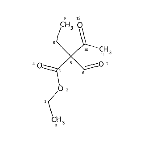 CCOC(=O)C(C=O)(CC)C(C)=O